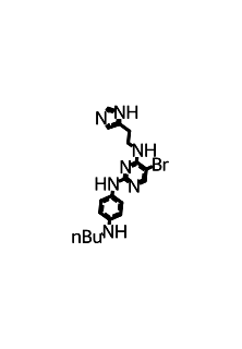 CCCCNc1ccc(Nc2ncc(Br)c(NCCc3cnc[nH]3)n2)cc1